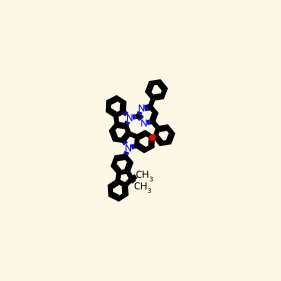 CC1(C)c2ccccc2-c2ccc(-n3c4ccccc4c4c3ccc3c5ccccc5n(-c5nc(-c6ccccc6)cc(-c6ccccc6)n5)c34)cc21